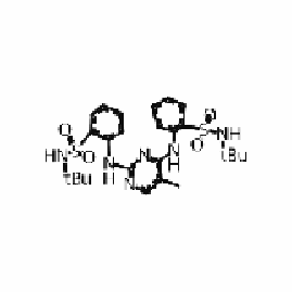 Cc1cnc(Nc2ccccc2S(=O)(=O)NC(C)(C)C)nc1Nc1ccccc1S(=O)(=O)NC(C)(C)C